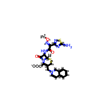 CC(C)ON=C(C(=O)NC1C(=O)N2C(C(=O)[O-])=C(C[n+]3ccc4ccccc4c3)CS[C@@H]12)c1nsc(N)n1